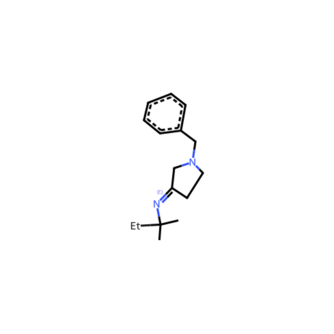 CCC(C)(C)/N=C1\CCN(Cc2ccccc2)C1